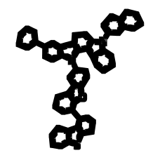 c1ccc(-c2ccc3c(c2)c2ccc4c(c5ccccc5n4-c4ccc5ccccc5c4)c2n3-c2ccc3oc4c(-c5cccc6sc7ccccc7c56)cccc4c3c2)cc1